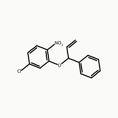 C=CC(Oc1cc(Cl)ccc1[N+](=O)[O-])c1ccccc1